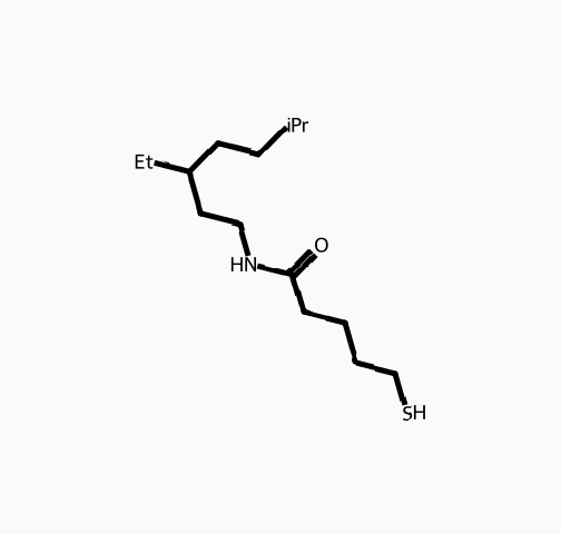 CCC(CCNC(=O)CCCCS)CCC(C)C